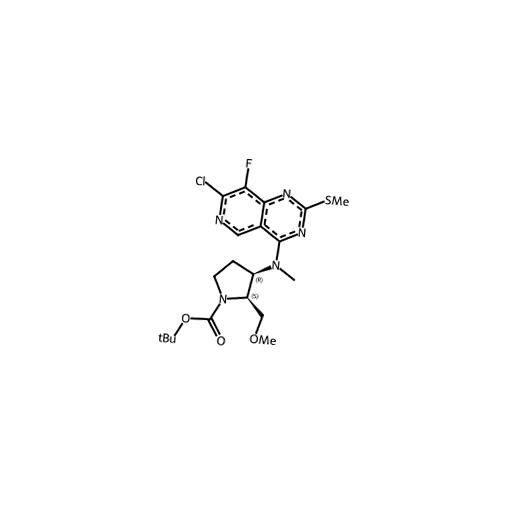 COC[C@@H]1[C@H](N(C)c2nc(SC)nc3c(F)c(Cl)ncc23)CCN1C(=O)OC(C)(C)C